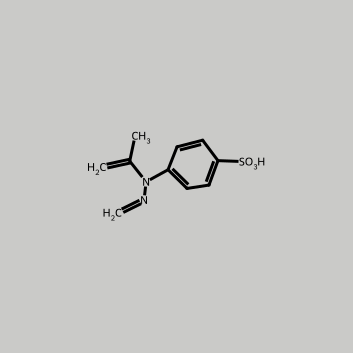 C=NN(C(=C)C)c1ccc(S(=O)(=O)O)cc1